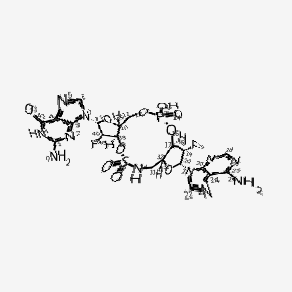 Nc1nc2c(ncn2[C@@H]2O[C@@H]3COP(=O)(O)O[C@H]4[C@@H](F)[C@H](n5cnc6c(N)ncnc65)O[C@@H]4CNS(=O)(=O)O[C@H]3[C@H]2F)c(=O)[nH]1